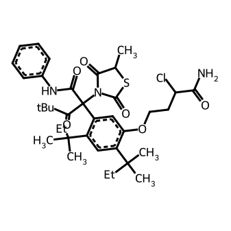 CCC(C)(C)c1cc(C(C)(C)CC)c(C(C(=O)Nc2ccccc2)(C(=O)C(C)(C)C)N2C(=O)SC(C)C2=O)cc1OCCC(Cl)C(N)=O